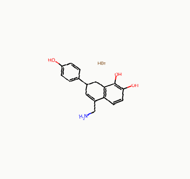 Br.NCC1=CC(c2ccc(O)cc2)Cc2c1ccc(O)c2O